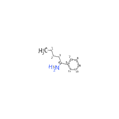 CCCCC(N)c1ccccc1